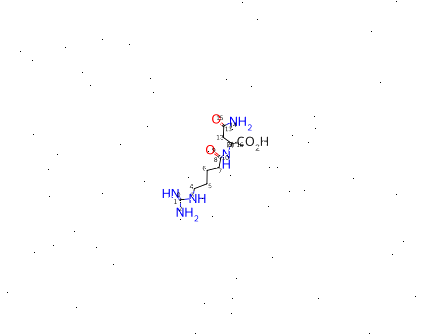 N=C(N)NCCCCC(=O)N[C@@H](CC(N)=O)C(=O)O